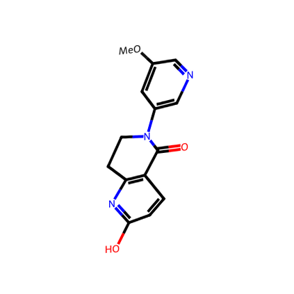 COc1cncc(N2CCc3nc(O)ccc3C2=O)c1